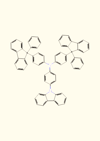 c1ccc(C2(c3ccc(N(c4ccc(-n5c6ccccc6c6ccccc65)cc4)c4ccc(C5(c6ccccc6)c6ccccc6-c6ccccc65)cc4)cc3)c3ccccc3-c3ccccc32)cc1